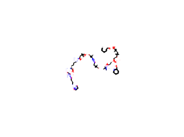 CC(C)(CNC(=O)CC(C)(C)COCC(C)(C)NC(=O)CC[C@H](CC(=O)C(C)(C)CC(C)(C)C(=O)OCc1ccccc1)C(=O)OCc1ccccc1)COCC(C)(C)CC(=O)NCCCC[C@@H]1NC(=O)[C@@H](NC(=O)CCCN2C(=O)C=CC2=O)OC1=O